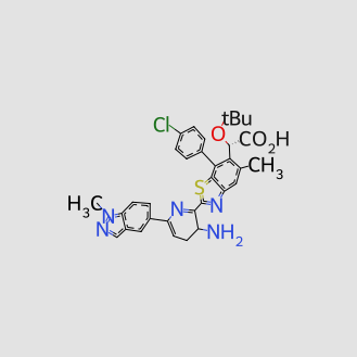 Cc1cc2nc(C3=NC(c4ccc5c(cnn5C)c4)=CCC3N)sc2c(-c2ccc(Cl)cc2)c1[C@H](OC(C)(C)C)C(=O)O